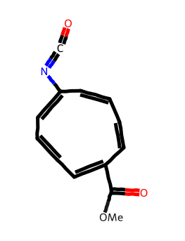 COC(=O)c1ccccc(N=C=O)cccc1